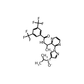 CC(NC(=O)c1cc(C(F)(F)F)cc(C(F)(F)F)c1)c1nccnc1-n1cc([S+]([O-])C(C)C)cn1